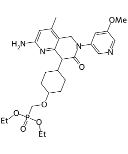 CCOP(=O)(COC1CCC(C2C(=O)N(c3cncc(OC)c3)Cc3c(C)cc(N)nc32)CC1)OCC